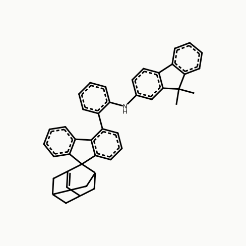 CC1(C)c2ccccc2-c2ccc(Nc3ccccc3-c3cccc4c3-c3ccccc3C43C4=CC5CC(C4)CC3C5)cc21